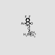 CC(=O)c1nn(COCC[Si](C)(C)C)c(=O)c2cc(F)c(F)cc12